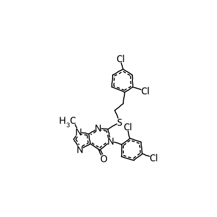 Cn1cnc2c(=O)n(-c3ccc(Cl)cc3Cl)c(SCCc3ccc(Cl)cc3Cl)nc21